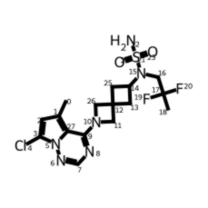 Cc1cc(Cl)n2ncnc(N3CC4(CC(N(CC(C)(F)F)S(N)(=O)=O)C4)C3)c12